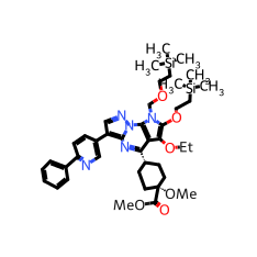 CCOc1c(OCC[Si](C)(C)C)n(COCC[Si](C)(C)C)c2c1c([C@H]1CC[C@](OC)(C(=O)OC)CC1)nc1c(-c3ccc(-c4ccccc4)nc3)cnn12